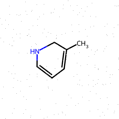 CC1=CC=CNC1